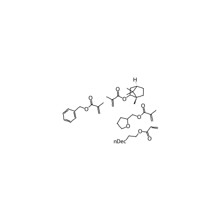 C=C(C)C(=O)OC1C[C@H]2CC[C@@]1(C)C2(C)C.C=C(C)C(=O)OCC1CCCO1.C=C(C)C(=O)OCc1ccccc1.C=CC(=O)OCCCCCCCCCCCC